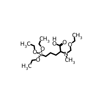 CCOCN(C)C(CCC[Si](OCC)(OCC)OCC)C(=O)O